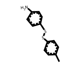 Cc1ccc(SSc2ccc(N)cc2)cc1